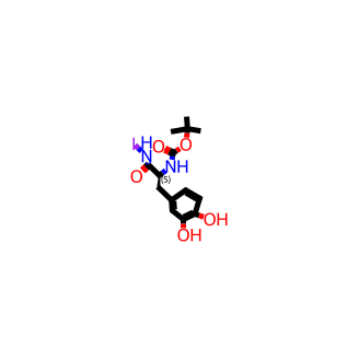 CC(C)(C)OC(=O)N[C@@H](Cc1ccc(O)c(O)c1)C(=O)NI